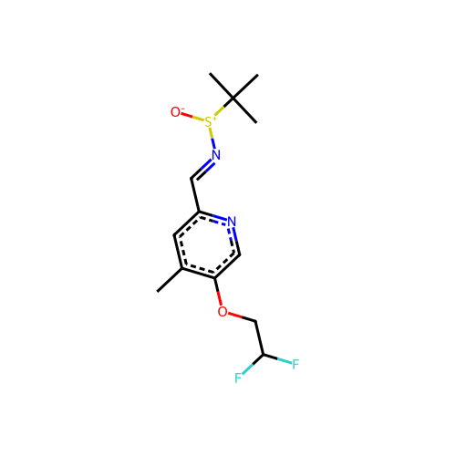 Cc1cc(C=N[S+]([O-])C(C)(C)C)ncc1OCC(F)F